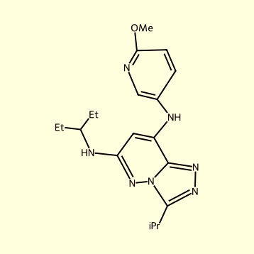 CCC(CC)Nc1cc(Nc2ccc(OC)nc2)c2nnc(C(C)C)n2n1